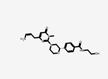 Cn1c(N2CCO[C@@H](c3ccc(C(=O)NCCO)cc3)C2)nc(C/C=C\N)cc1=O